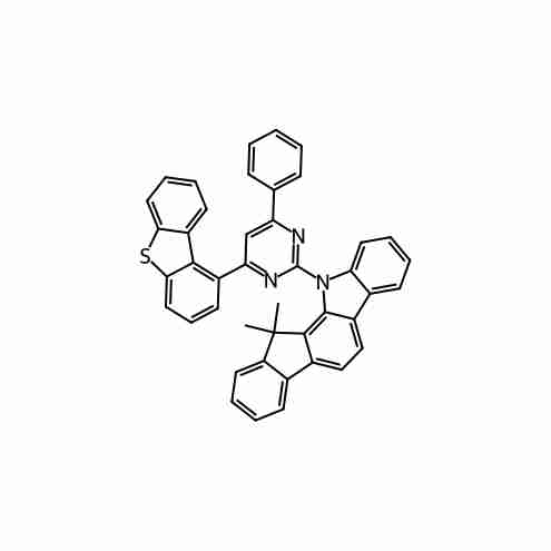 CC1(C)c2ccccc2-c2ccc3c4ccccc4n(-c4nc(-c5ccccc5)cc(-c5cccc6sc7ccccc7c56)n4)c3c21